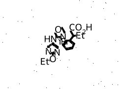 CCOc1ncc(N[C@@]2(C(C)C)COCCN2c2ccccc2C(CC)CC(=O)O)cn1